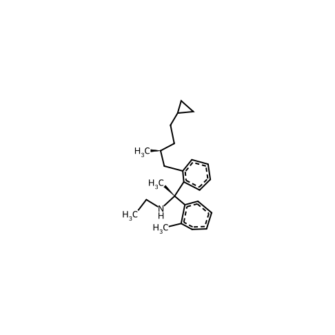 CCN[C@@](C)(c1ccccc1C)c1ccccc1C[C@@H](C)CCC1CC1